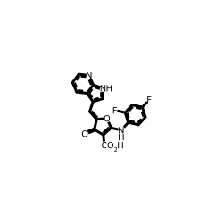 O=C(O)C1=C(Nc2ccc(F)cc2F)OC(=Cc2c[nH]c3ncccc23)C1=O